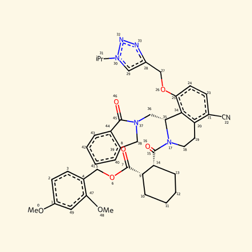 COc1ccc(COC(=O)[C@H]2CCCC[C@H]2C(=O)N2CCc3c(C#N)ccc(OCc4cn(C(C)C)nn4)c3[C@H]2CN2Cc3ccccc3C2=O)c(OC)c1